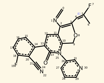 C=NC1=C(/C=C(\C)F)OCc2c1cc(-c1cccc(F)c1C#N)c(=O)n2-c1cccnc1